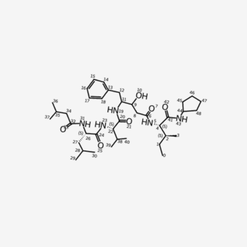 CC[C@H](C)[C@H](NC(=O)CC(O)C(Cc1ccccc1)NC(=O)[C@@H](NC(=O)[C@H](CC(C)C)NC(=O)CC(C)C)C(C)C)C(=O)NC1CCCC1